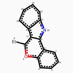 CCc1oc2ccccc2c2nc3ccccc3c1-2